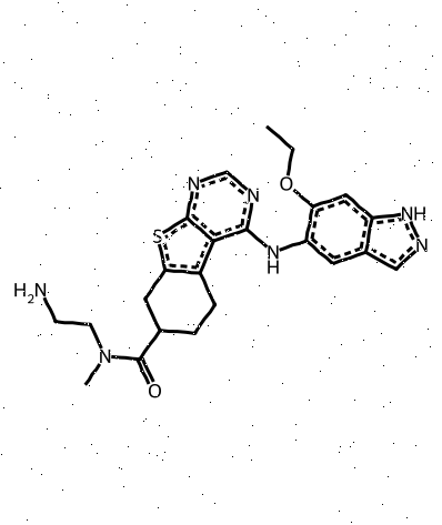 CCOc1cc2[nH]ncc2cc1Nc1ncnc2sc3c(c12)CCC(C(=O)N(C)CCN)C3